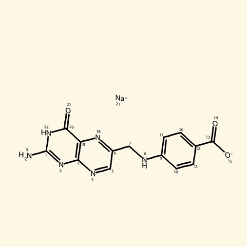 Nc1nc2ncc(CNc3ccc(C(=O)[O-])cc3)nc2c(=O)[nH]1.[Na+]